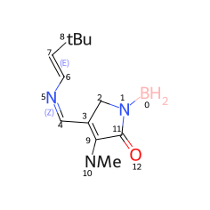 BN1CC(/C=N\C=C\C(C)(C)C)=C(NC)C1=O